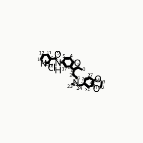 Cc1oc2ccc(NC(=O)c3cccnc3Cl)cc2c1CCN(C)Cc1ccc2c(c1)OCCO2